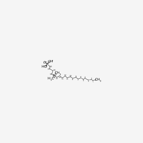 CCCCCCCCCCCCCCCC[N+](C)(C)CCCCP(=O)(O)O